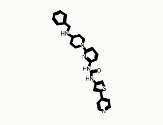 O=C(Nc1csc(-c2ccncc2)c1)Nc1cccc(N2CCC(NCc3ccccc3)CC2)n1